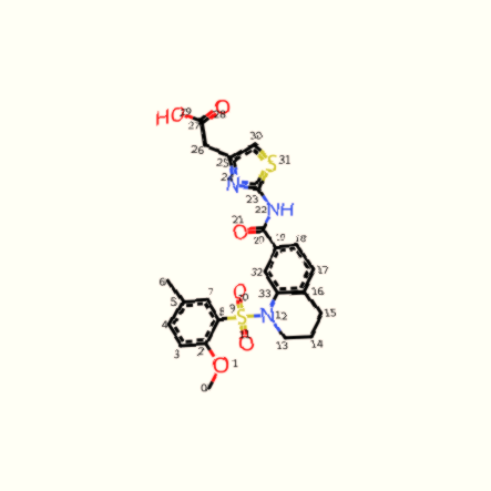 COc1ccc(C)cc1S(=O)(=O)N1CCCc2ccc(C(=O)Nc3nc(CC(=O)O)cs3)cc21